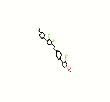 C=Cc1ccc(-c2ccc(CCc3ccc(-c4ccc(OCC)cc4F)cc3)c(F)c2F)cc1